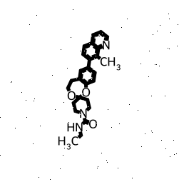 CCNC(=O)N1CCC2(CC1)OCCc1cc(-c3ccc4cccnc4c3C)ccc1O2